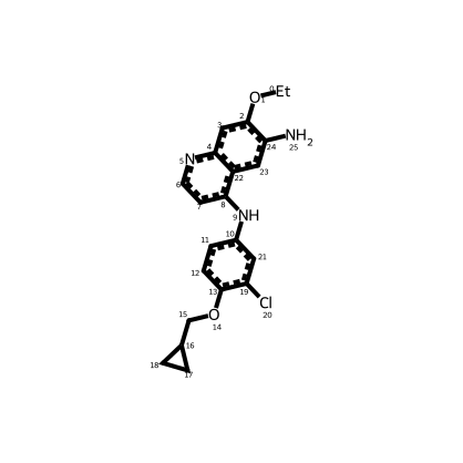 CCOc1cc2nccc(Nc3ccc(OCC4CC4)c(Cl)c3)c2cc1N